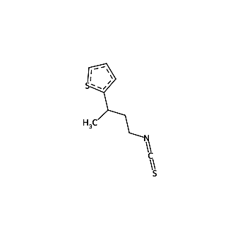 CC(CCN=C=S)c1cccs1